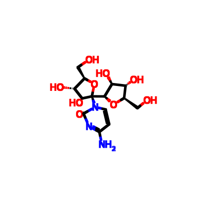 Nc1ccn([C@]2([C@@H]3O[C@H](CO)[C@@H](O)[C@@H]3O)O[C@H](CO)[C@@H](O)[C@H]2O)c(=O)n1